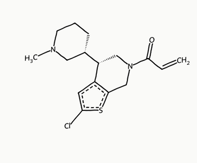 C=CC(=O)N1Cc2sc(Cl)cc2[C@H]([C@H]2CCCN(C)C2)C1